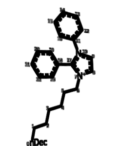 CCCCCCCCCCCCCCCC[n+]1ccn(-c2ccccc2)c1-c1ccccc1